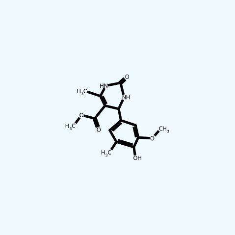 COC(=O)C1=C(C)NC(=O)NC1c1cc(C)c(O)c(OC)c1